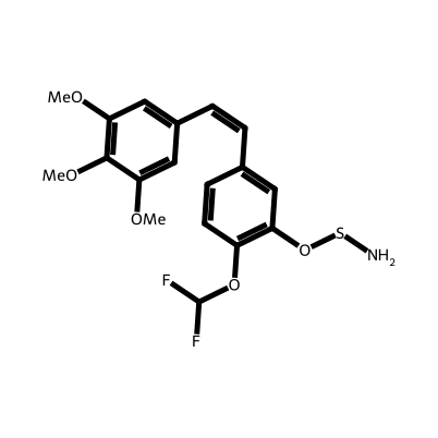 COc1cc(/C=C\c2ccc(OC(F)F)c(OSN)c2)cc(OC)c1OC